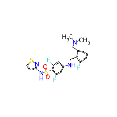 CN(C)Cc1cccc(F)c1CNc1cc(F)c(S(=O)(=O)Nc2ccsn2)c(F)c1